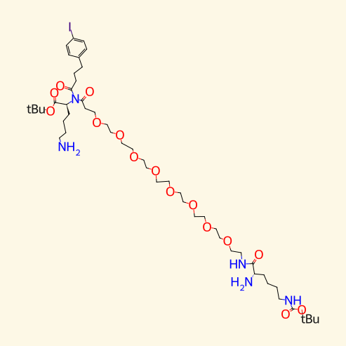 CC(C)(C)OC(=O)NCCCC[C@H](N)C(=O)NCCOCCOCCOCCOCCOCCOCCOCCOCCC(=O)N(C(=O)CCCc1ccc(I)cc1)[C@@H](CCCCN)C(=O)OC(C)(C)C